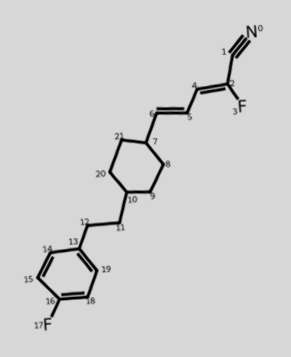 N#CC(F)=CC=CC1CCC(CCc2ccc(F)cc2)CC1